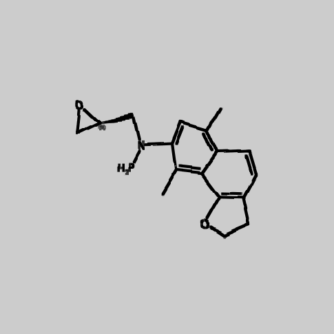 Cc1cc(N(P)C[C@H]2CO2)c(C)c2c3c(ccc12)CCO3